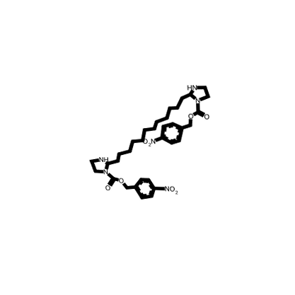 O=C(OCc1ccc([N+](=O)[O-])cc1)N1CCNC1CCCCCCCCCCCCC1NCCN1C(=O)OCc1ccc([N+](=O)[O-])cc1